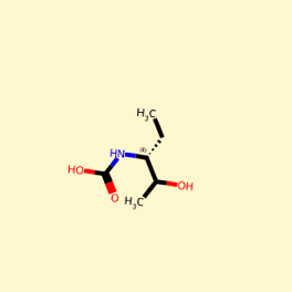 CC[C@@H](NC(=O)O)C(C)O